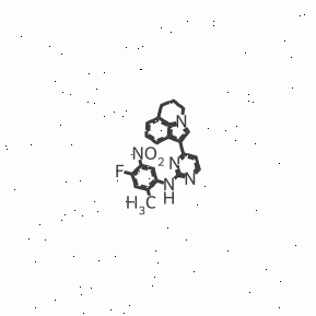 Cc1cc(F)c([N+](=O)[O-])cc1Nc1nccc(-c2cn3c4c(cccc24)CCC3)n1